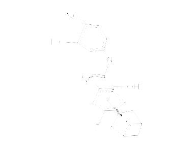 N#Cc1ccc(N2C3CC2CN(CC(O)C(=O)Nc2ccc(C#N)c(C(F)(F)F)c2)C3)c(F)c1